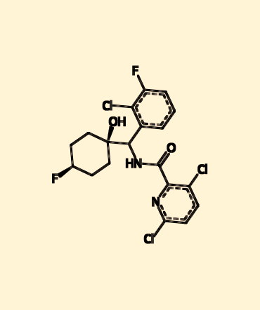 O=C(NC(c1cccc(F)c1Cl)[C@]1(O)CC[C@@H](F)CC1)c1nc(Cl)ccc1Cl